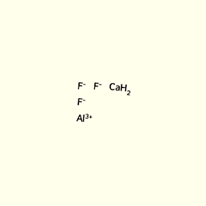 [Al+3].[CaH2].[F-].[F-].[F-]